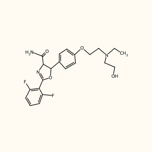 CCN(CCO)CCOc1ccc(C2OC(c3c(F)cccc3F)=NC2C(N)=O)cc1